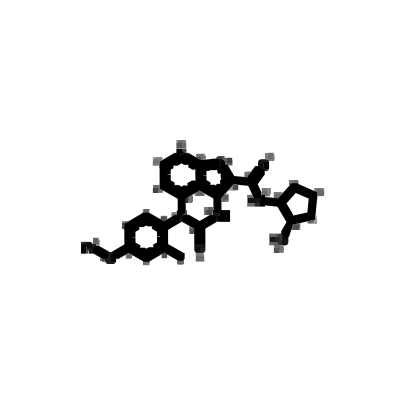 Cc1cc(OC(C)C)ccc1N1C(=O)Nc2c(C(=O)NC3CCC[C@H]3O)sc3nccc1c23